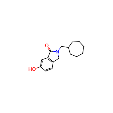 O=C1c2cc(O)ccc2CN1CC1CCCCCC1